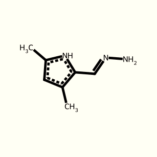 Cc1cc(C)c(C=NN)[nH]1